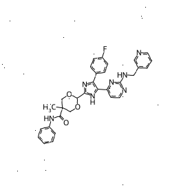 CC1(C(=O)Nc2ccccc2)COC(c2nc(-c3ccc(F)cc3)c(-c3ccnc(NCc4cccnc4)n3)[nH]2)OC1